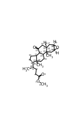 COC(=O)CC[C@@H](C)[C@H]1CCC2C3C(=O)C[C@@H]4C[C@H]5O[C@H]5C[C@]4(C)C3CC[C@@]21C